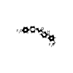 O=C(CCN1CCN(c2ccc(C(F)(F)F)cc2)CC1)N1CCC[C@H](Nc2ccc(SC(F)(F)F)cc2)C1